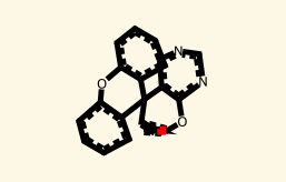 c1ccc2c(c1)Oc1ccccc1C21c2ccccc2Oc2ncncc21